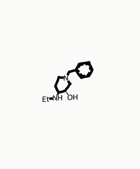 CCN[C@H]1CCN(Cc2ccccc2)C[C@@H]1O